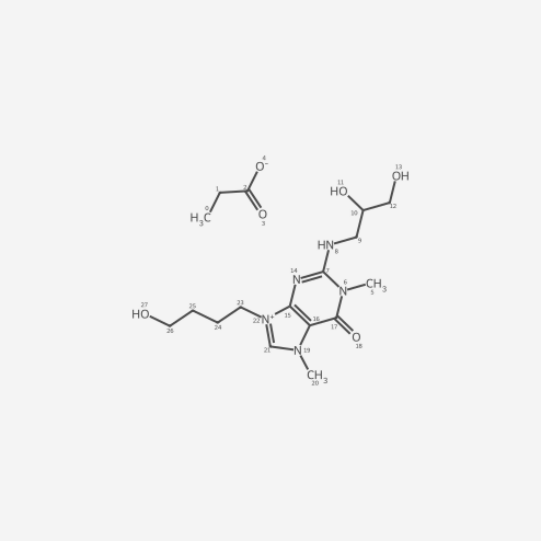 CCC(=O)[O-].Cn1c(NCC(O)CO)nc2c(c1=O)n(C)c[n+]2CCCCO